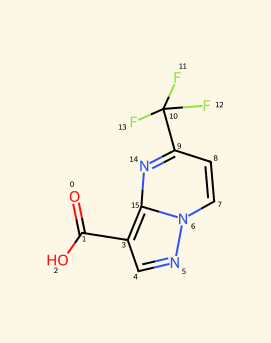 O=C(O)c1cnn2ccc(C(F)(F)F)nc12